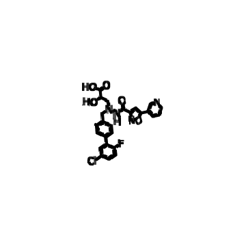 O=C(NN(Cc1ccc(-c2cc(Cl)ccc2F)cc1)CC(O)C(=O)O)c1cc(-c2cccnc2)on1